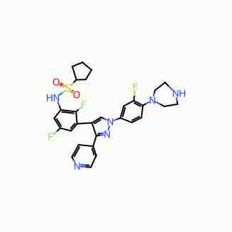 O=S(=O)(Nc1cc(F)cc(-c2cn(-c3ccc(N4CCNCC4)c(F)c3)nc2-c2ccncc2)c1F)C1CCCC1